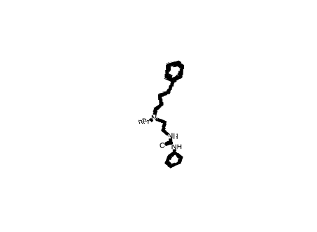 CCCN(CCCCc1ccccc1)CCNC(=O)Nc1ccccc1